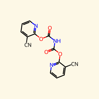 N#Cc1cccnc1OC(=O)NC(=O)Oc1ncccc1C#N